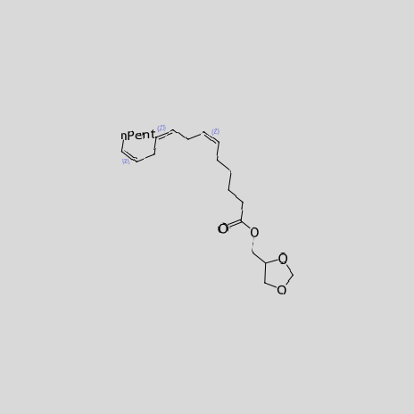 CCCCC/C=C\C/C=C\C/C=C\CCCCC(=O)OCC1COCO1